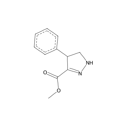 COC(=O)C1=NNCC1c1ccccc1